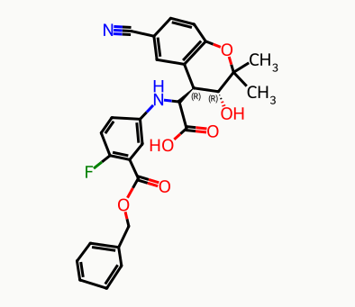 CC1(C)Oc2ccc(C#N)cc2[C@H](C(Nc2ccc(F)c(C(=O)OCc3ccccc3)c2)C(=O)O)[C@H]1O